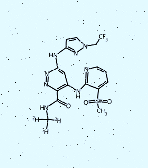 [2H]C([2H])([2H])NC(=O)c1nnc(Nc2ccn(CC(F)(F)F)n2)cc1Nc1ncccc1S(C)(=O)=O